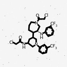 O=C(CCl)NC1CC(C2CCCN(C(=O)CCl)C[C@@H]2Nc2cccc(C(F)(F)F)c2)CN(c2cccc(C(F)(F)F)c2)C1